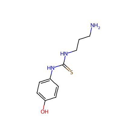 NCCCNC(=S)Nc1ccc(O)cc1